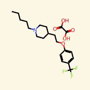 CCCCCN1CCC(CCOc2ccc(C(F)(F)F)cc2)CC1.O=C(O)C(=O)O